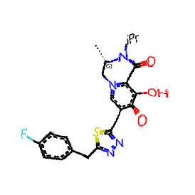 CC(C)N1C(=O)c2c(O)c(=O)c(-c3nnc(Cc4ccc(F)cc4)s3)cn2C[C@@H]1C